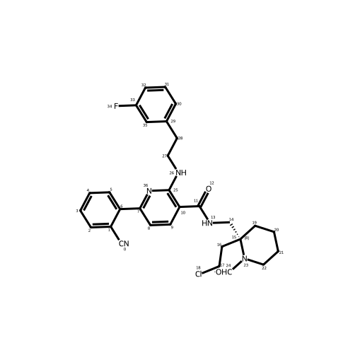 N#Cc1ccccc1-c1ccc(C(=O)NC[C@]2(CCCl)CCCCN2[C]=O)c(NCCc2cccc(F)c2)n1